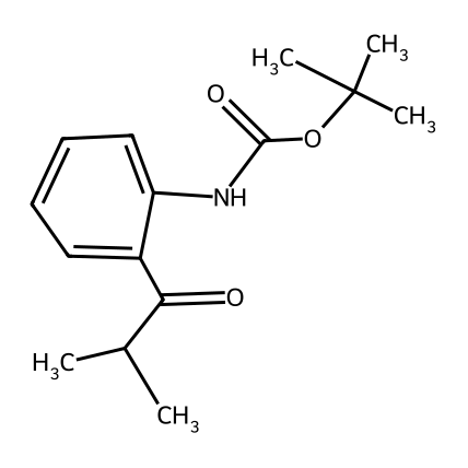 CC(C)C(=O)c1ccccc1NC(=O)OC(C)(C)C